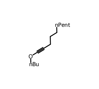 [CH2]CCCOC#CCCCCCCCC